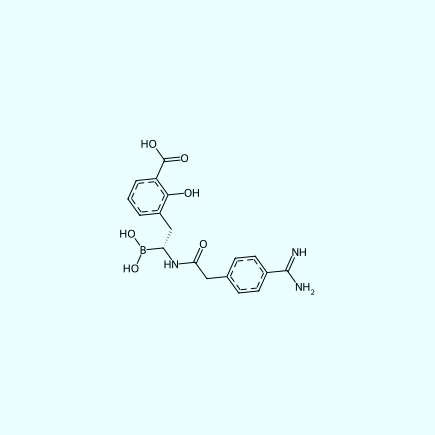 N=C(N)c1ccc(CC(=O)N[C@@H](Cc2cccc(C(=O)O)c2O)B(O)O)cc1